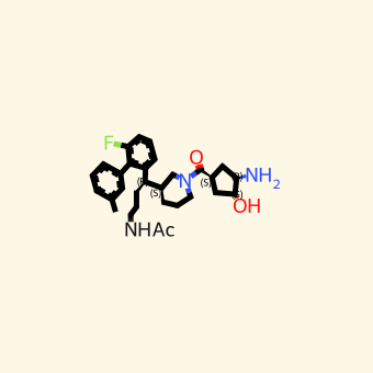 CC(=O)NCCC[C@@H](c1cccc(F)c1-c1cccc(C)c1)[C@@H]1CCCN(C(=O)[C@H]2C[C@@H](N)[C@@H](O)C2)C1